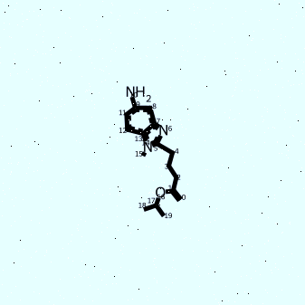 C=C(CCCc1nc2cc(N)ccc2n1C)OC(C)C